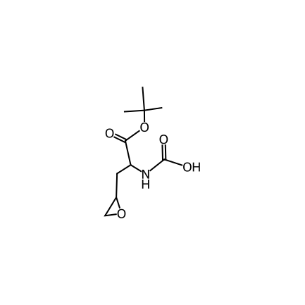 CC(C)(C)OC(=O)C(CC1CO1)NC(=O)O